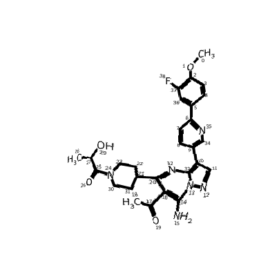 COc1ccc(-c2ccc(-c3cnn4c(N)c(C(C)=O)c(C5CCN(C(=O)[C@@H](C)O)CC5)nc34)cn2)cc1F